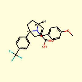 COc1ccc(CN2[C@H]3C=C(C(=O)O)C[C@]2(c2ccc(C(F)(F)F)cc2)CC3)cc1